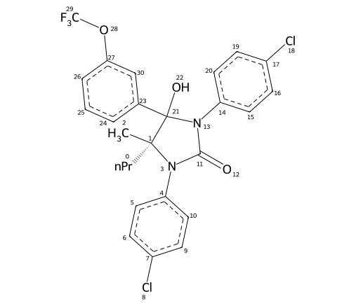 CCC[C@@]1(C)N(c2ccc(Cl)cc2)C(=O)N(c2ccc(Cl)cc2)C1(O)c1cccc(OC(F)(F)F)c1